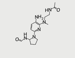 CC(=O)NCCN(C)c1nc(N2CCCC2NC=O)ccc1N